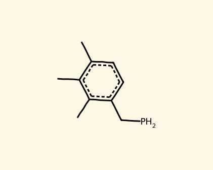 Cc1ccc(CP)c(C)c1C